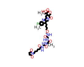 CC[C@@]1(O)C(=O)OCc2c1cc1n(c2=O)Cc2c-1nc1cc(F)c(C)cc1c2CCCCOCNC(=O)CNC(=O)[C@H](C)NC(=O)CNC(=O)CCCCCN1C(=O)C=CC1=O